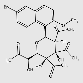 COc1ccc2cc(Br)ccc2c1[C@@H]1O[C@H](C(O)C(C)=O)[C@@](O)(C(C)=O)[C@@](O)(C(C)=O)[C@]1(O)C(C)=O